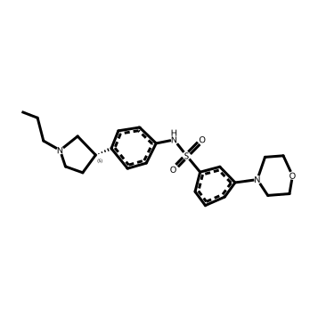 CCCN1CC[C@@H](c2ccc(NS(=O)(=O)c3cccc(N4CCOCC4)c3)cc2)C1